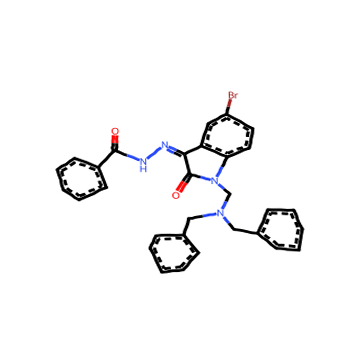 O=C(NN=C1C(=O)N(CN(Cc2ccccc2)Cc2ccccc2)c2ccc(Br)cc21)c1ccccc1